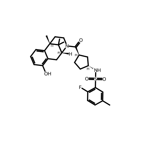 Cc1ccc(F)c(S(=O)(=O)N[C@@H]2CC[C@@H](C(=O)N3CC[C@@]4(C)c5cccc(O)c5C[C@@H]3C4(C)C)C2)c1